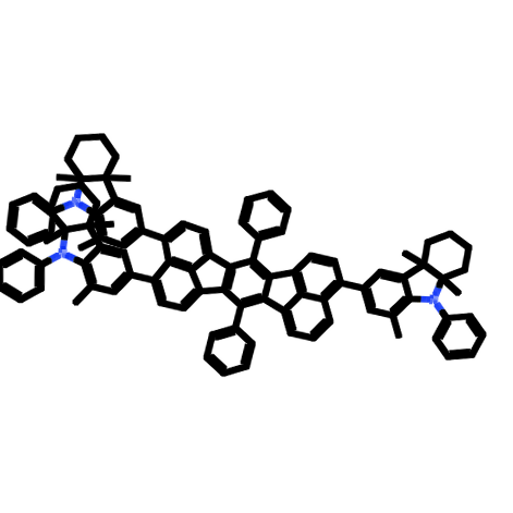 Cc1cc(-c2ccc3c4c(-c5ccccc5)c5c6ccc(-c7cc(C)c8c(c7)C7(C)CCCCC7(C)N8c7ccccc7)c7c(-c8cc(C)c9c(c8)C8(C)CCCCC8(C)N9c8ccccc8)ccc(c5c(-c5ccccc5)c4c4cccc2c43)c76)cc2c1N(c1ccccc1)C1(C)CCCCC21C